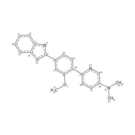 COc1cc(-c2nc3ccccc3o2)ccc1-c1ccc(N(C)C)cn1